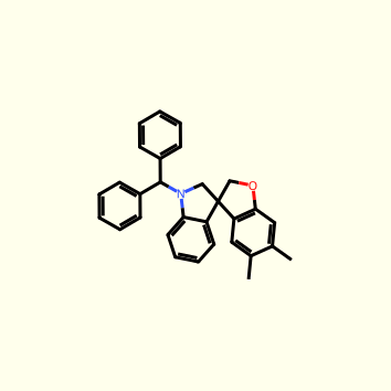 Cc1cc2c(cc1C)C1(CO2)CN(C(c2ccccc2)c2ccccc2)c2ccccc21